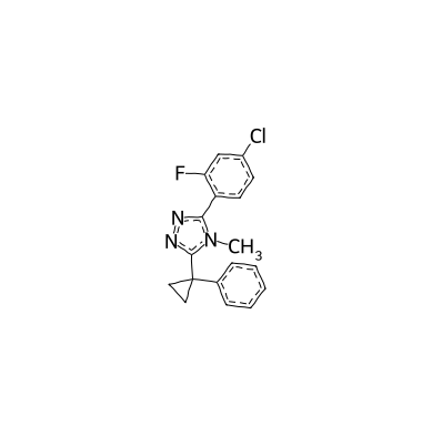 Cn1c(-c2ccc(Cl)cc2F)nnc1C1(c2ccccc2)CC1